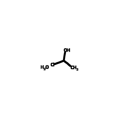 CC(O)Cl.O